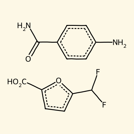 NC(=O)c1ccc(N)cc1.O=C(O)c1ccc(C(F)F)o1